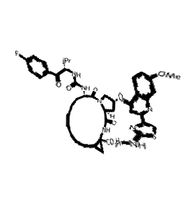 COc1ccc2c(O[C@@H]3C[C@H]4C(=O)N[C@]5(C(=O)O)CC5CCCCCCC[C@H](NC(=O)N[C@H](C(=O)c5ccc(F)cc5)C(C)C)C(=O)N4C3)cc(-c3csc(NC(C)C)n3)nc2c1